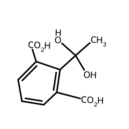 CC(O)(O)c1c(C(=O)O)cccc1C(=O)O